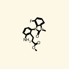 COC(=O)CCc1c(N)cccc1-n1c(=O)n(C)c2cccc(F)c21